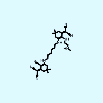 CNCCNC1=C(NCCCCCCNC2=C(C#N)C(=C(C#N)C#N)CC(C)(C)C2)CC(C)(C)CC1=C(C#N)C#N